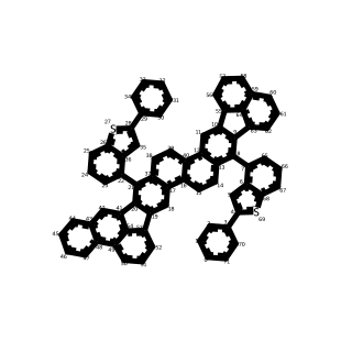 c1ccc(-c2cc3c(-c4c5c(cc6c4ccc4c7cc8c(c(-c9cccc%10sc(-c%11ccccc%11)cc9%10)c7ccc64)-c4cc6ccccc6c6cccc-8c46)-c4cccc6cccc-5c46)cccc3s2)cc1